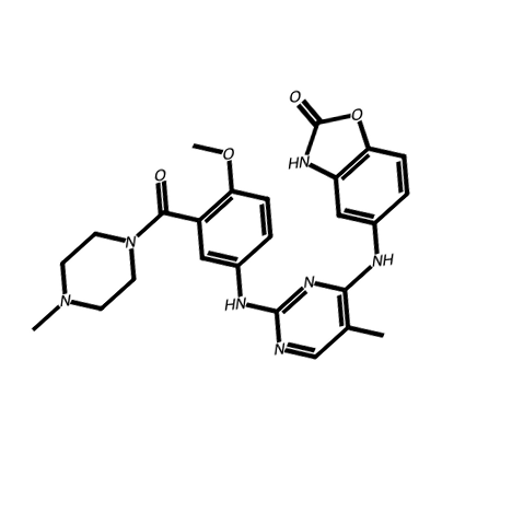 COc1ccc(Nc2ncc(C)c(Nc3ccc4oc(=O)[nH]c4c3)n2)cc1C(=O)N1CCN(C)CC1